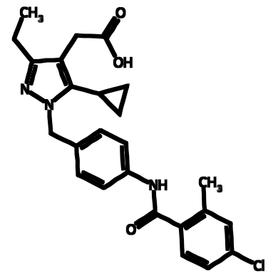 CCc1nn(Cc2ccc(NC(=O)c3ccc(Cl)cc3C)cc2)c(C2CC2)c1CC(=O)O